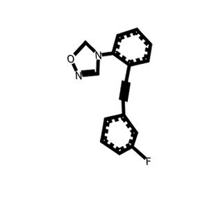 Fc1cccc(C#Cc2ccccc2N2C=NOC2)c1